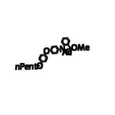 CCCCCOc1ccc(Oc2ccc(N(C(C)=O)c3ccccc3C(=O)OC)cc2)cc1